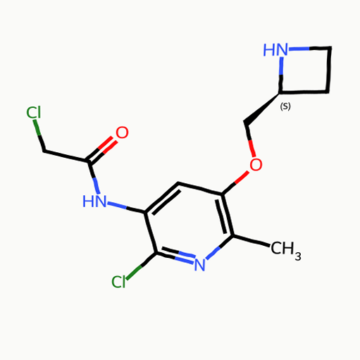 Cc1nc(Cl)c(NC(=O)CCl)cc1OC[C@@H]1CCN1